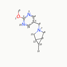 COc1ncc(CN2CC3C(C)C3C2)cn1